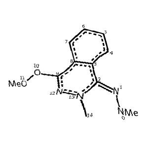 CN/N=c1/c2ccccc2c(OOC)nn1C